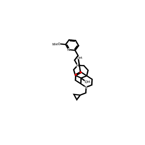 COc1cccc(CCN2CCC34CCN(CC5CC5)C(Cc5ccc(O)cc53)C4(O)CC2)n1